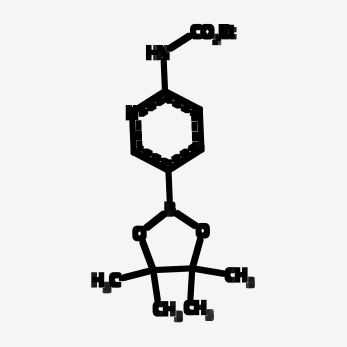 CCOC(=O)Nc1ccc(B2OC(C)(C)C(C)(C)O2)cn1